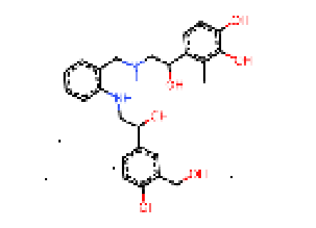 Cc1c(C(O)CNCc2ccccc2NCC(O)c2ccc(O)c(CO)c2)ccc(O)c1O